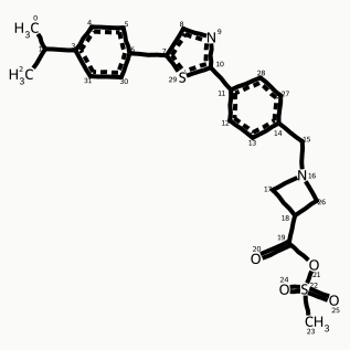 CC(C)c1ccc(-c2cnc(-c3ccc(CN4CC(C(=O)OS(C)(=O)=O)C4)cc3)s2)cc1